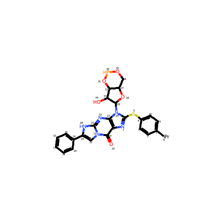 CC(C)c1ccc(Sc2nc3c(=O)n4cc(-c5ccccc5)[nH]c4nc3n2C2OC3COPOC3C2O)cc1